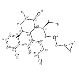 CC[C@@H](COCC1CC1)N1C(=O)C(C)C[C@H](c2cccc(Cl)c2)C1c1ccc(Cl)cc1